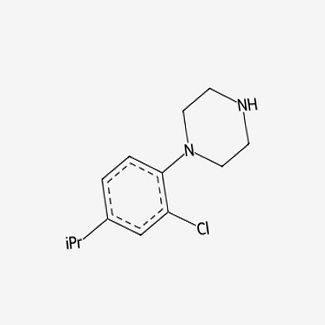 CC(C)c1ccc(N2CCNCC2)c(Cl)c1